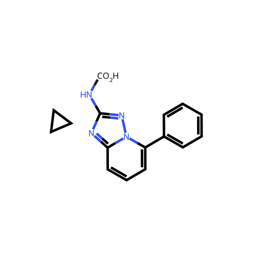 C1CC1.O=C(O)Nc1nc2cccc(-c3ccccc3)n2n1